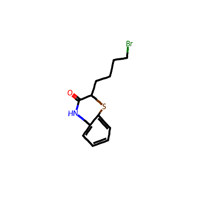 O=C1Nc2ccccc2SC1CCCCBr